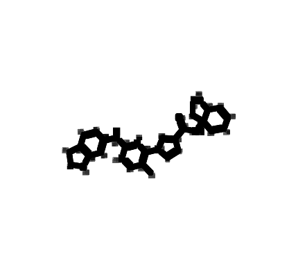 CCC1(NC(=O)c2ccn(-c3nc(Nc4ccc5c(c4)OCC5)ncc3C)c2)C=CC=CC1O